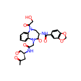 CC(=O)C[C@@H](C=O)NC(=O)CN1C(=O)[C@@H](NC(=O)c2ccc3c(c2)OCO3)CN(C(=O)CO)c2ccccc21